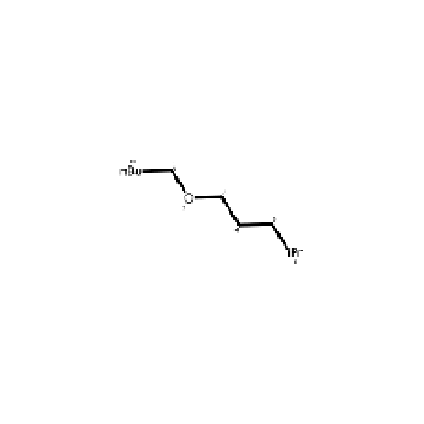 CCCC[CH]OCCCC(C)C